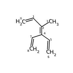 C=CC(C)=C(C=C)C=C